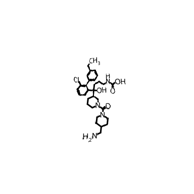 CCc1cccc(-c2c(Cl)cccc2C(O)(CCCNC(=O)O)C2CCCN(C(=O)N3CCC(CN)CC3)C2)c1